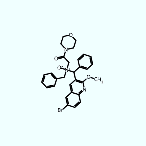 COc1nc2ccc(Br)cc2cc1C(c1ccccc1)[N+]([O-])(CC(=O)N1CCOCC1)Cc1ccccc1